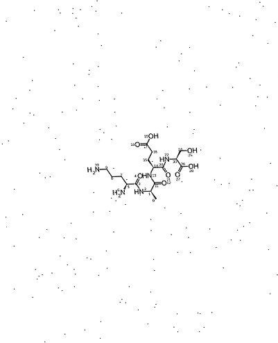 C[C@@H](NC(=O)[C@@H](N)CCCN)C(=O)N[C@@H](CCC(=O)O)C(=O)N[C@@H](CO)C(=O)O